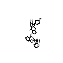 C[C@H]1C2=CNN(c3ccc(F)cc3)C2=CC2=C1[C@@H](CC(NC(=O)Nc1ccccn1)c1ccccc1)CC2